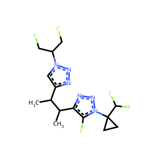 CC(c1cn(C(CF)CF)nn1)C(C)c1nnn(C2(C(F)F)CC2)c1F